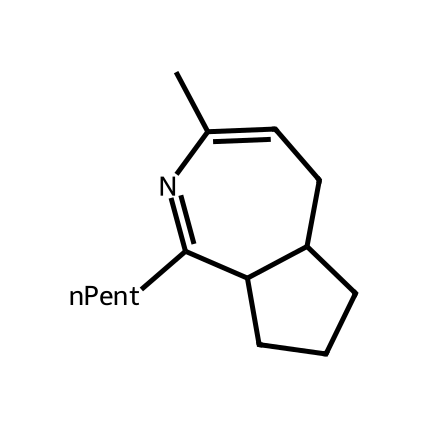 CCCCCC1=NC(C)=CCC2CCCC12